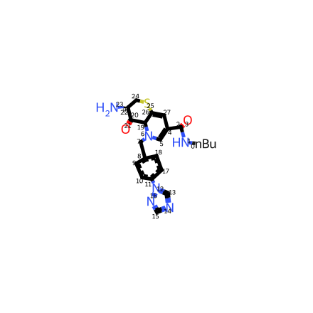 CCCCNC(=O)C1=CN(Cc2ccc(-n3cncn3)cc2)C2C(=O)[C@@H](N)CSC2=C1